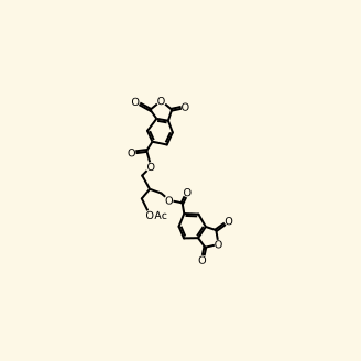 CC(=O)OCC(COC(=O)c1ccc2c(c1)C(=O)OC2=O)COC(=O)c1ccc2c(c1)C(=O)OC2=O